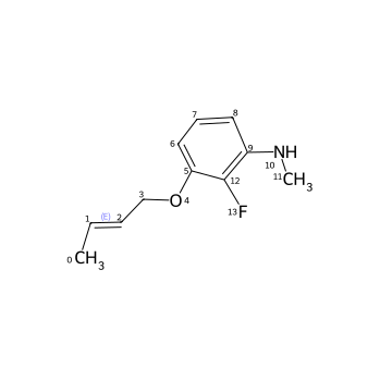 C/C=C/COc1cccc(NC)c1F